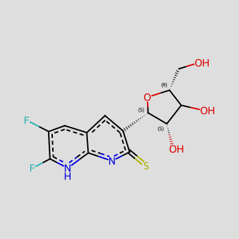 OC[C@H]1O[C@@H](c2cc3cc(F)c(F)[nH]c-3nc2=S)[C@@H](O)C1O